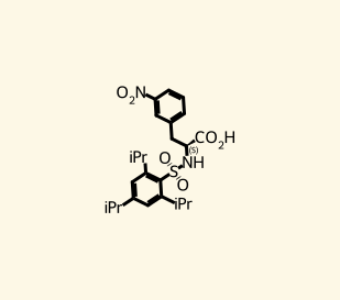 CC(C)c1cc(C(C)C)c(S(=O)(=O)N[C@@H](Cc2cccc([N+](=O)[O-])c2)C(=O)O)c(C(C)C)c1